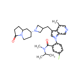 Cc1cncc2c1c(CC1CN([C@@H]3CCN4C(=O)CCC4C3)C1)cn2-c1ccc(F)cc1C(=O)N(C)C(C)C